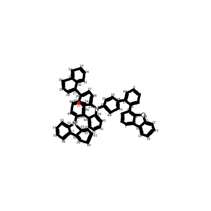 c1ccc(-c2cccc3c2oc2ccccc23)c(-c2ccc(N(c3ccc(-c4cccc5ccccc45)cc3)c3ccccc3-c3ccccc3-n3c4ccccc4c4ccccc43)cc2)c1